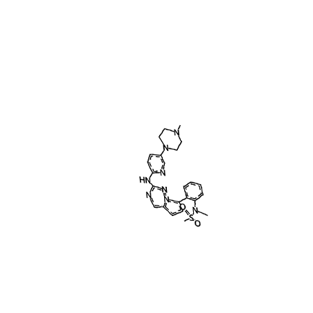 CN1CCN(c2ccc(Nc3ncc4ccc(-c5ccccc5N(C)S(C)(=O)=O)n4n3)nc2)CC1